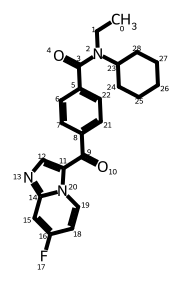 CCN(C(=O)c1ccc(C(=O)c2cnc3cc(F)ccn23)cc1)C1CCCCC1